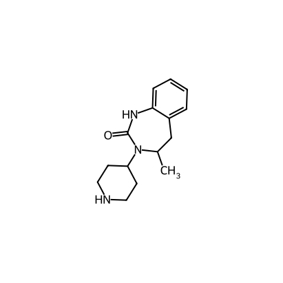 CC1Cc2ccccc2NC(=O)N1C1CCNCC1